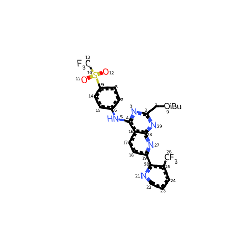 CC(C)COCc1nc(Nc2ccc(S(=O)(=O)C(F)(F)F)cc2)c2ccc(-c3ncccc3C(F)(F)F)nc2n1